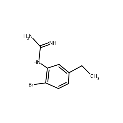 CCc1ccc(Br)c(NC(=N)N)c1